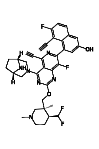 C#Cc1c(F)ccc2cc(O)cc(-c3nc(C#C)c4c(N5C[C@H]6CC[C@@H](C5)N6)nc(OC[C@]5(C)CN(C)CC[C@@H]5C(F)F)nc4c3F)c12